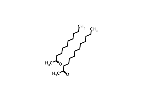 CCCCCCCCCC(C)=O.CCCCCCCCCCCC(C)=O